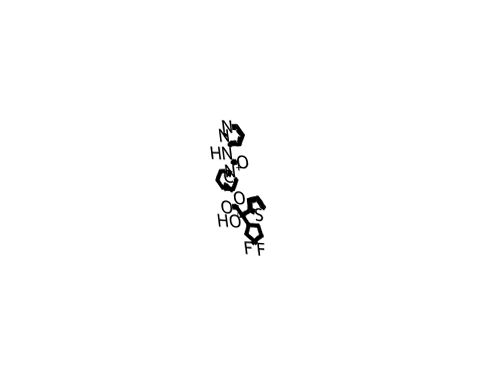 O=C(OC1C[N+]2(C(=O)Nc3cccnn3)CCC1CC2)[C@@](O)(c1cccs1)C1CCC(F)(F)C1